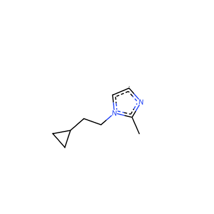 Cc1n[c]cn1CCC1CC1